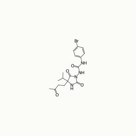 CC(=O)CCC1(C(C)C)NC(=O)N(NC(=O)Nc2ccc(Br)cc2)C1=O